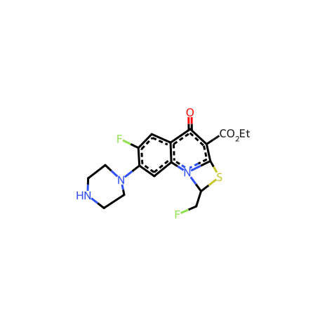 CCOC(=O)c1c2n(c3cc(N4CCNCC4)c(F)cc3c1=O)C(CF)S2